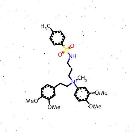 COc1ccc(CC[N+](C)(CCCNS(=O)(=O)c2ccc(C)cc2)c2ccc(OC)c(OC)c2)cc1OC